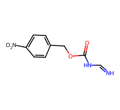 N=CNC(=O)OCc1ccc([N+](=O)[O-])cc1